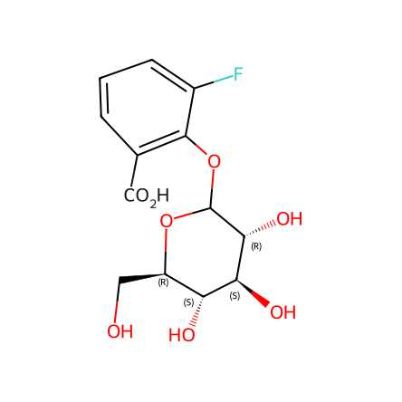 O=C(O)c1cccc(F)c1OC1O[C@H](CO)[C@@H](O)[C@H](O)[C@H]1O